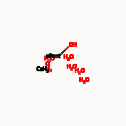 CCCCCO.O.O.O.O.O.O.[CaH2]